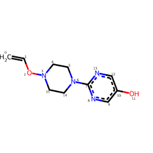 C=CON1CCN(c2ncc(O)cn2)CC1